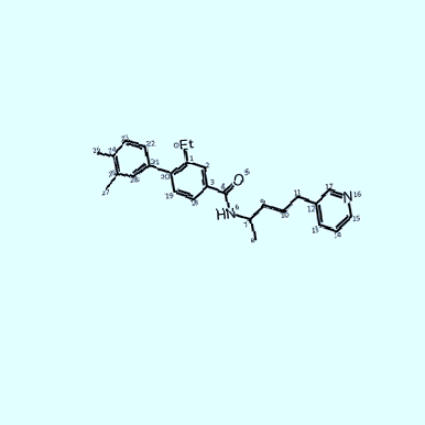 CCc1cc(C(=O)NC(C)CCCc2cccnc2)ccc1-c1ccc(C)c(C)c1